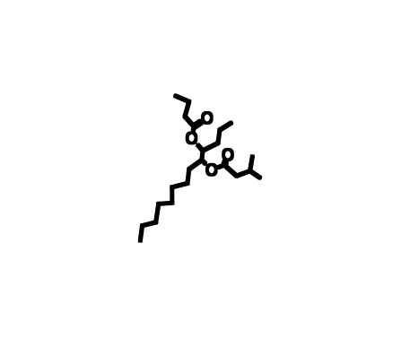 CCCCCCCCC(OC(=O)CC(C)C)C(CCC)OC(=O)CCC